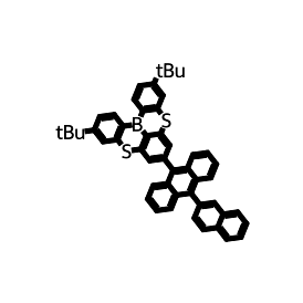 CC(C)(C)c1ccc2c(c1)Sc1cc(-c3c4ccccc4c(-c4ccc5ccccc5c4)c4ccccc34)cc3c1B2c1ccc(C(C)(C)C)cc1S3